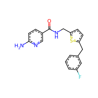 Nc1ccc(C(=O)NCc2ccc(Cc3cccc(F)c3)s2)cn1